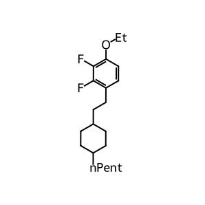 CCCCCC1CCC(CCc2ccc(OCC)c(F)c2F)CC1